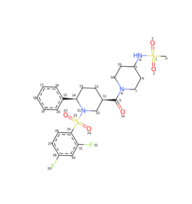 CS(=O)(=O)NC1CCN(C(=O)[C@@H]2CC[C@H](c3ccccc3)N(S(=O)(=O)c3ccc(F)cc3F)C2)CC1